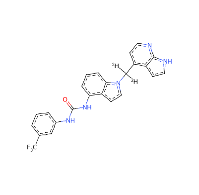 [2H]C([2H])(c1ccnc2[nH]ccc12)n1ccc2c(NC(=O)Nc3cccc(C(F)(F)F)c3)cccc21